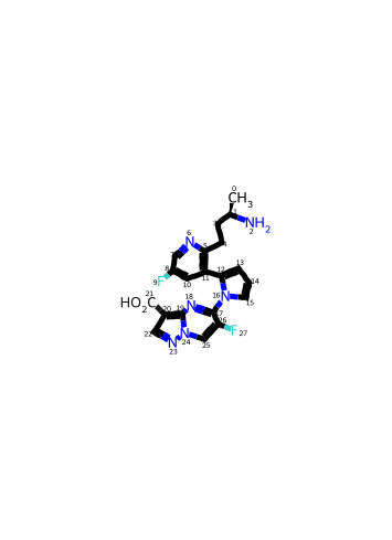 C[C@@H](N)CCc1ncc(F)cc1-c1cccn1-c1nc2c(C(=O)O)cnn2cc1F